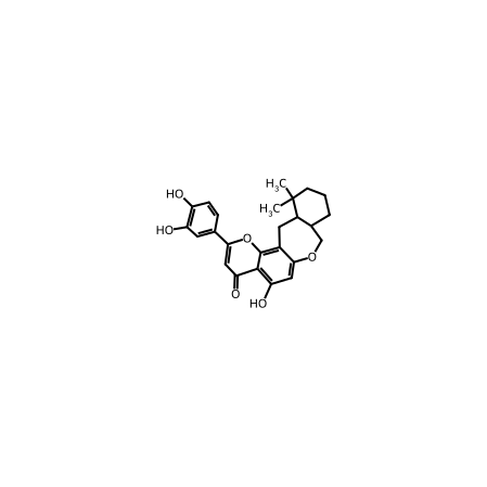 CC1(C)CCCC2COc3cc(O)c4c(=O)cc(-c5ccc(O)c(O)c5)oc4c3CC21